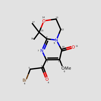 COc1c(C(=O)CBr)nc2n(c1=O)CCOC2(C)C